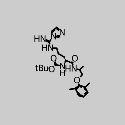 Cc1cccc(C)c1OCC(C)NC(=O)[C@H](CCCNC(=N)n1ccnc1)NC(=O)OC(C)(C)C